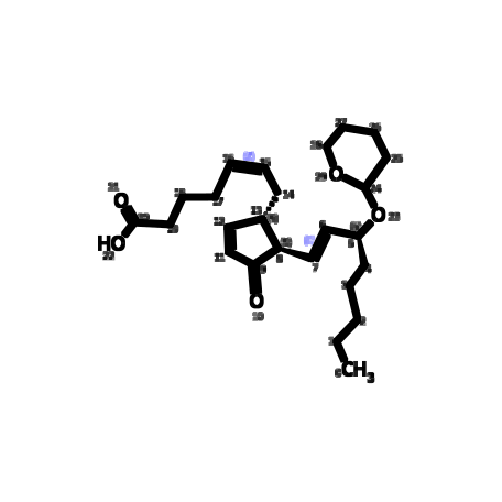 CCCCC[C@@H](/C=C/[C@H]1C(=O)C=C[C@@H]1C/C=C\CCCC(=O)O)OC1CCCCO1